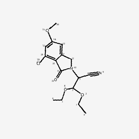 CCOC(OCC)C(C#N)N1Cc2cc(OC)cc(Cl)c2C1=O